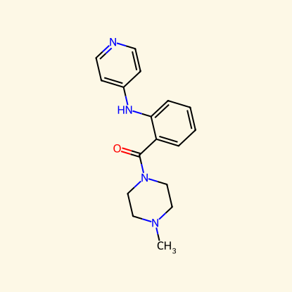 CN1CCN(C(=O)c2ccccc2Nc2ccncc2)CC1